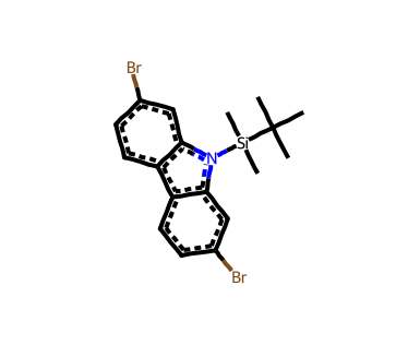 CC(C)(C)[Si](C)(C)n1c2cc(Br)ccc2c2ccc(Br)cc21